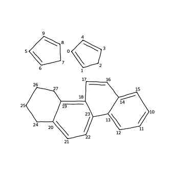 C1=CCC=C1.C1=CCC=C1.c1ccc2c(c1)ccc1c3c(ccc12)CCCC3